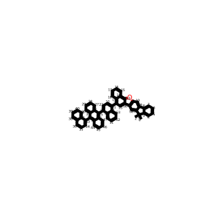 CC1(C)c2ccccc2-c2cc3oc4c5ccccc5c(-c5ccc(-c6c7ccccc7c(-c7cccc8ccccc78)c7ccccc67)c6ccccc56)cc4c3cc21